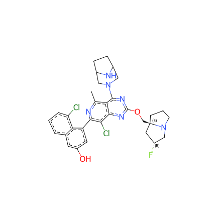 Cc1nc(-c2cc(O)cc3cccc(Cl)c23)c(Cl)c2nc(OC[C@@]34CCCN3C[C@H](F)C4)nc(N3CC4CCC(C3)N4)c12